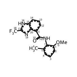 COc1cccc(C)c1NC(=O)c1cccc2[nH]c(C(F)(F)F)nc12